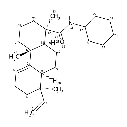 C=C[C@@]1(C)CCC=C2[C@H]1CC[C@@H]1[C@](C)(C(=O)NC3CCCCC3)CCC[C@@]21C